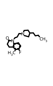 CCCCC1CCN(CCCN2C(=O)CCc3c2ccc(F)c3C)CC1